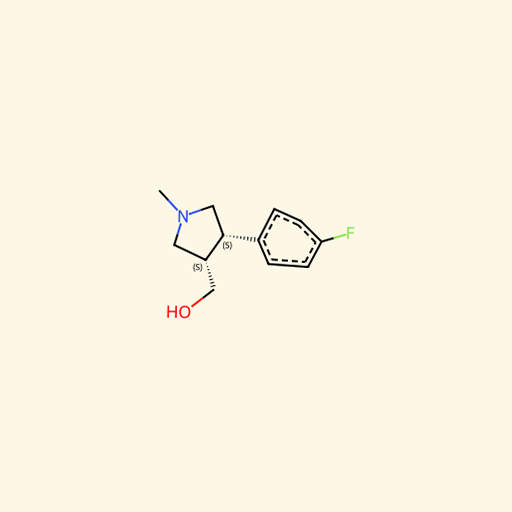 CN1C[C@@H](CO)[C@@H](c2ccc(F)cc2)C1